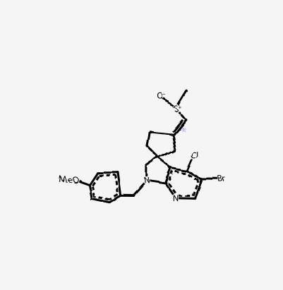 COc1ccc(CN2CC3(CC/C(=C\[S+](C)[O-])C3)c3c2ncc(Br)c3Cl)cc1